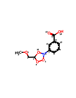 COCC1OON(c2cccc(C(=O)O)c2)O1